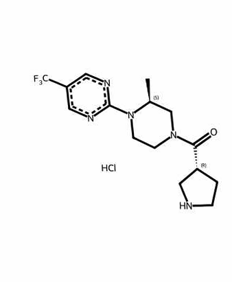 C[C@H]1CN(C(=O)[C@@H]2CCNC2)CCN1c1ncc(C(F)(F)F)cn1.Cl